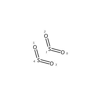 O=S=O.O=S=O